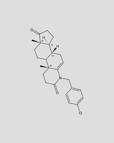 C[C@]12CCC(=O)N(Cc3ccc(Cl)cc3)C1=CC[C@@H]1C2CC[C@]2(C)C(=O)CC[C@@H]12